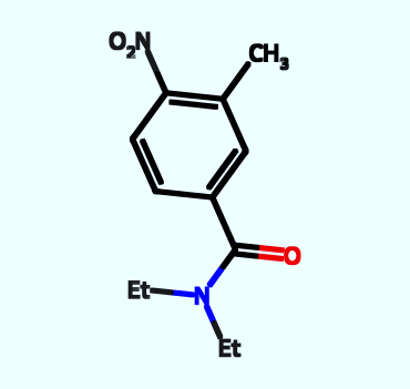 CCN(CC)C(=O)c1ccc([N+](=O)[O-])c(C)c1